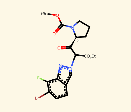 CCOC(=O)C(C(=O)[C@@H]1CCCN1C(=O)OC(C)(C)C)n1cc2ccc(Br)c(F)c2n1